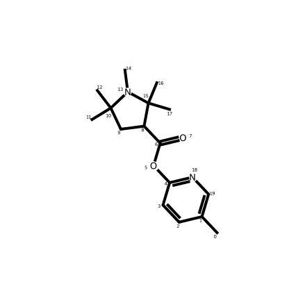 Cc1ccc(OC(=O)C2CC(C)(C)N(C)C2(C)C)nc1